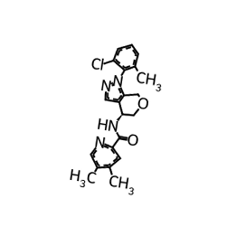 Cc1cnc(C(=O)N[C@@H]2COCc3c2cnn3-c2c(C)cccc2Cl)cc1C